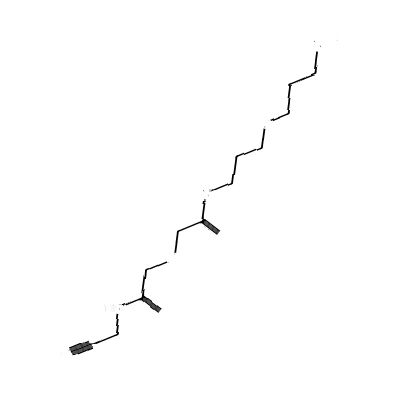 C#CCNC(=O)COCC(=O)NCCCOCCCNC(C)=O